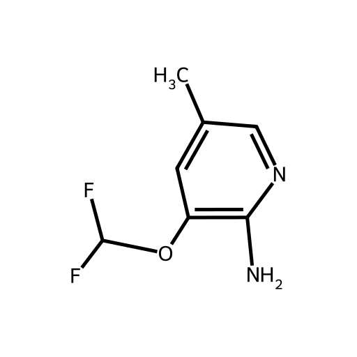 Cc1cnc(N)c(OC(F)F)c1